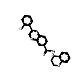 O=C(N[C@H]1CCOc2ccccc21)c1ccc2nc(-c3ccccc3Cl)cnc2c1